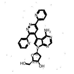 Nc1ncnc2c1c(-c1cc(-c3ccccn3)nnc1-c1ccccn1)cn2[C@H]1C[C@@H](O)[C@@H](CO)O1